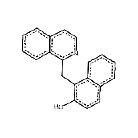 Oc1ccc2ccccc2c1Cc1nccc2ccccc12